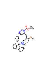 CC(=O)SC1CCN(C(c2ccccc2)(c2ccccc2)c2ccccc2)CC1=Cc1cncn1C(=O)OC(C)(C)C